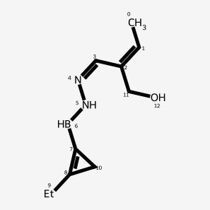 C/C=C(\C=N/NBC1=C(CC)C1)CO